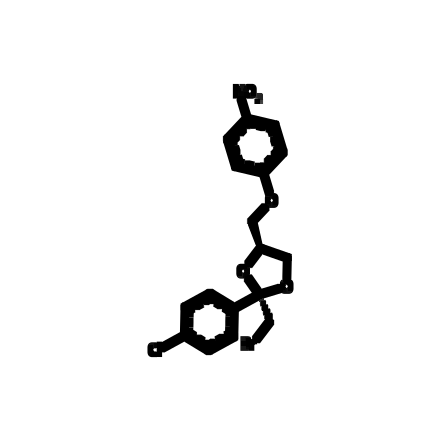 O=[N+]([O-])c1ccc(OC[C@H]2CO[C@@](CBr)(c3ccc(Cl)cc3)O2)cc1